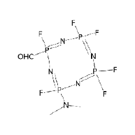 CN(C)P1(F)=NP(F)(C=O)=NP(F)(F)=NP(F)(F)=N1